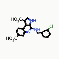 O=C(O)c1ccc2c(c1)nc(NCc1cccc(Cl)c1)c1[nH]cc(C(=O)O)c12